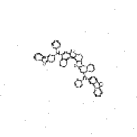 c1ccc(N(c2ccc3oc4ccccc4c3c2)c2cc3oc4c(ccc5oc6cc(N(c7ccccc7)c7ccc8oc9ccccc9c8c7)c7ccccc7c6c54)c3c3ccccc23)cc1